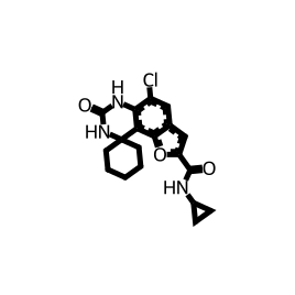 O=C1Nc2c(Cl)cc3cc(C(=O)NC4CC4)oc3c2C2(CCCCC2)N1